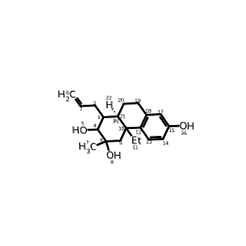 C=CCC1C(O)C(C)(O)CC2(CC)c3ccc(O)cc3CC[C@H]12